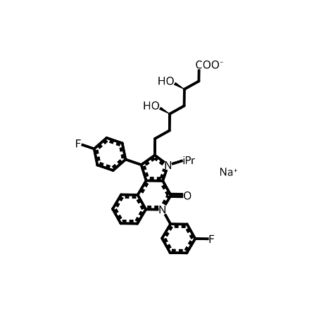 CC(C)n1c(CC[C@@H](O)C[C@@H](O)CC(=O)[O-])c(-c2ccc(F)cc2)c2c3ccccc3n(-c3cccc(F)c3)c(=O)c21.[Na+]